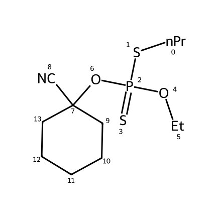 CCCSP(=S)(OCC)OC1(C#N)CCCCC1